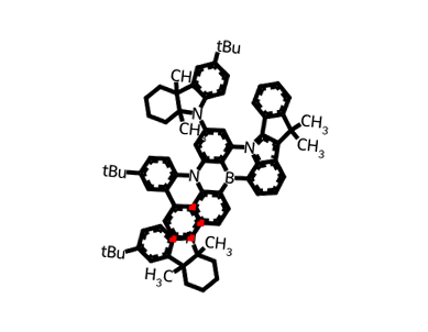 CC(C)(C)c1ccc(N2c3cc(N4c5ccc(C(C)(C)C)cc5C5(C)CCCCC45C)ccc3B3c4c2cc(N2c5ccc(C(C)(C)C)cc5C5(C)CCCCC25C)cc4-n2c4c(c5cccc3c52)C(C)(C)c2ccccc2-4)c(-c2ccccc2)c1